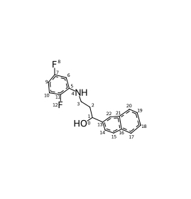 OC(CCNc1cc(F)ccc1F)c1ccc2ccccc2c1